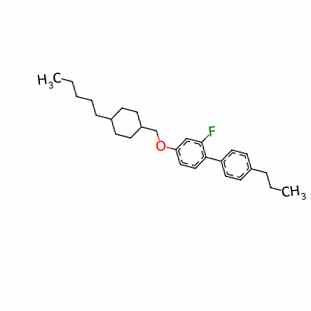 CCCCCC1CCC(COc2ccc(-c3ccc(CCC)cc3)c(F)c2)CC1